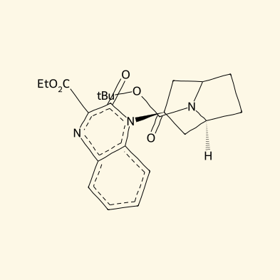 CCOC(=O)c1nc2ccccc2n([C@H]2CC3CC[C@@H](C2)N3C(=O)OC(C)(C)C)c1=O